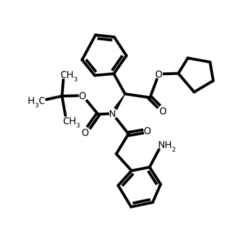 CC(C)(C)OC(=O)N(C(=O)Cc1ccccc1N)[C@H](C(=O)OC1CCCC1)c1ccccc1